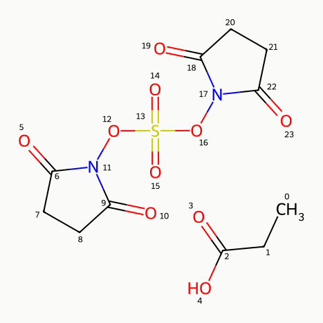 CCC(=O)O.O=C1CCC(=O)N1OS(=O)(=O)ON1C(=O)CCC1=O